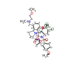 COCCN(C)Cc1ccc(OC)c(C2(N3CCC[C@H]3c3ncco3)C(=O)N(S(=O)(=O)c3ccc(OC)cc3)c3cc(Cl)c(Cl)cc32)c1